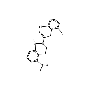 C[C@H]1c2cccc([S+](C)[O-])c2CCN1C(=O)Cc1c(Cl)cccc1Cl